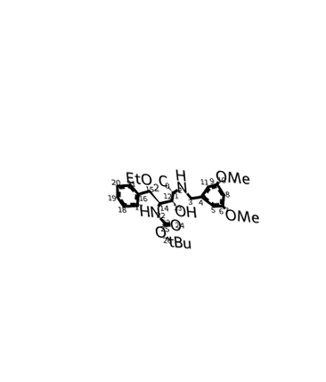 CCOC(=O)[C@H](NCc1cc(OC)cc(OC)c1)[C@H](O)[C@H](Cc1ccccc1)NC(=O)OC(C)(C)C